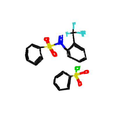 O=S(=O)(Cl)c1ccccc1.O=S(=O)(Nc1ccccc1C(F)(F)F)c1ccccc1